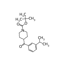 CC(C)c1cccc(C(=O)C2CCN(C(=O)OC(C)(C)C)CC2)c1